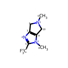 CN1Cc2nc(C(F)(F)F)n(C)c2C1